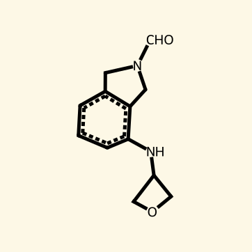 O=CN1Cc2cccc(NC3COC3)c2C1